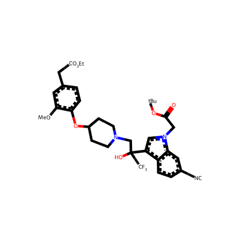 [C-]#[N+]c1ccc2c(C(O)(CN3CCC(Oc4ccc(CC(=O)OCC)cc4OC)CC3)C(F)(F)F)cn(CC(=O)OC(C)(C)C)c2c1